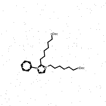 CCCCCCCCCCCCCCCCc1n(-c2ccccc2)cc[n+]1CCCCCCCCCCCCCCCC